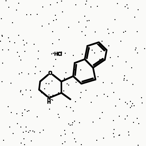 CC1NCCOC1c1ccc2ccccc2c1.Cl